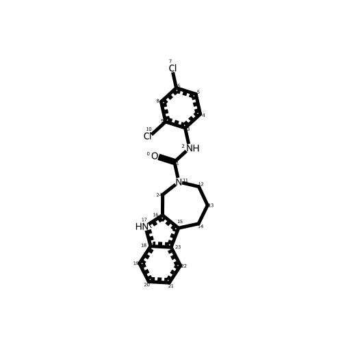 O=C(Nc1ccc(Cl)cc1Cl)N1CCCc2c([nH]c3ccccc23)C1